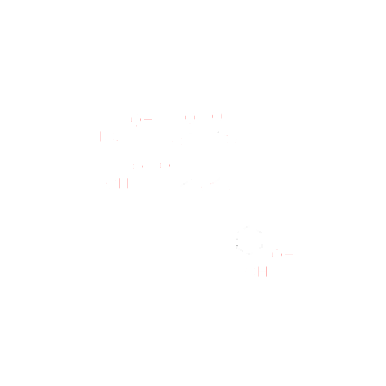 C=CC1C(O[C@H]2C[C@@H](O)[C@H](O)[C@@H](CO)O2)OC(=O)C(C(=O)OC)C1CC(=O)OCCc1ccc(O)c(O)c1